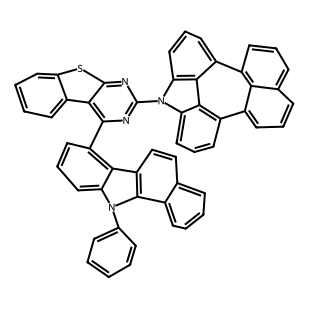 c1ccc(-n2c3cccc(-c4nc(-n5c6cccc7c6c6c(cccc65)-c5cccc6cccc-7c56)nc5sc6ccccc6c45)c3c3ccc4ccccc4c32)cc1